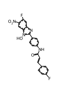 O=C(/C=C/c1ccc(F)cc1)Nc1ccc(-c2nc3cc(F)c([N+](=O)[O-])cc3n2O)cc1